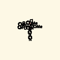 COc1ncc(C2(OC(=O)N3CCN(c4ccncc4)CC3)C(=O)N(S(=O)(=O)c3cccc4cccnc34)c3ccc(Cl)cc32)c(OC)n1